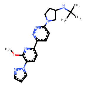 COc1nc(-c2ccc(N3CCC(NC(C)(C)C)C3)nn2)ccc1-n1cccn1